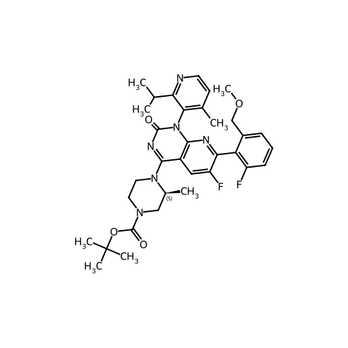 COCc1cccc(F)c1-c1nc2c(cc1F)c(N1CCN(C(=O)OC(C)(C)C)C[C@@H]1C)nc(=O)n2-c1c(C)ccnc1C(C)C